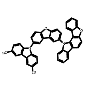 N#Cc1ccc2c(c1)c1cc(C#N)ccc1n2-c1ccc2oc3ccc(-n4c5ccccc5c5ccc6oc7ccccc7c6c54)cc3c2c1